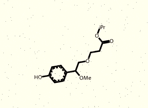 COC(COCCC(=O)OC(C)C)c1ccc(O)cc1